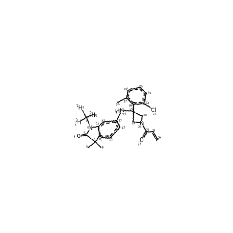 [2H]C([2H])([2H])N1C(=O)C(C)(C)c2ccc(NC3(c4c(C)cccc4Cl)CN(C(=O)C=C)C3)cc21